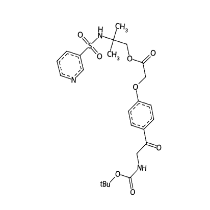 CC(C)(COC(=O)COc1ccc(C(=O)CNC(=O)OC(C)(C)C)cc1)NS(=O)(=O)c1cccnc1